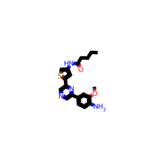 CCCCC(=O)Nc1csc(-c2cncc(-c3ccc(N)c(OC)c3)n2)c1